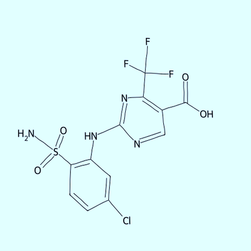 NS(=O)(=O)c1ccc(Cl)cc1Nc1ncc(C(=O)O)c(C(F)(F)F)n1